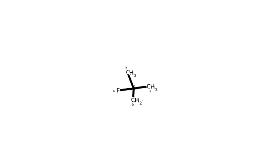 [CH2]C(C)(C)F